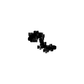 COc1cccc2c1C(=O)c1c(O)c3c(c(O)c1C2=O)C[C@@](O)(C(C)=O)C[C@@H]3OC1CC(NCc2ccc(NC(=O)c3cc(NC(=O)c4cc(NC(=O)c5ccccn5)cn4C)cn3C)cc2)C(O)C(C)O1